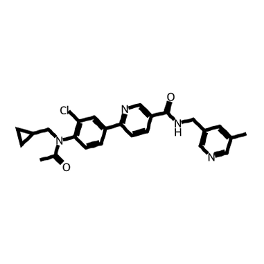 CC(=O)N(CC1CC1)c1ccc(-c2ccc(C(=O)NCc3cncc(C)c3)cn2)cc1Cl